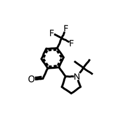 CC(C)(C)N1CCCC1c1cc(C(F)(F)F)ccc1C=O